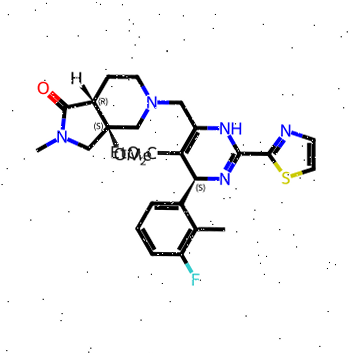 CCOC(=O)C1=C(CN2CC[C@H]3C(=O)N(C)C[C@@]3(OC)C2)NC(c2nccs2)=N[C@H]1c1cccc(F)c1C